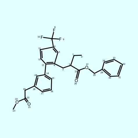 CCC(Cc1cc(C(F)(F)F)ccc1-c1cccc(CC(=O)OC)c1)C(=O)OCc1ccccc1